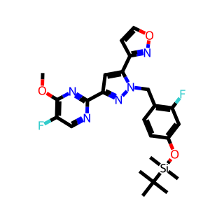 COc1nc(-c2cc(-c3ccon3)n(Cc3ccc(O[Si](C)(C)C(C)(C)C)cc3F)n2)ncc1F